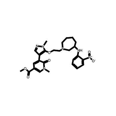 COC(=O)c1cc(-c2cnn(C)c2OCCN2CCCCC(Nc3ccccc3[N+](=O)[O-])C2)c(=O)n(C)c1